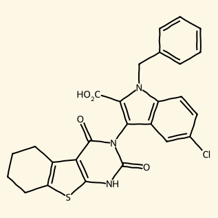 O=C(O)c1c(-n2c(=O)[nH]c3sc4c(c3c2=O)CCCC4)c2cc(Cl)ccc2n1Cc1ccccc1